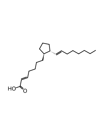 CCCCCC/C=C/[C@H]1CCC[C@@H]1CCCC/C=C/C(=O)O